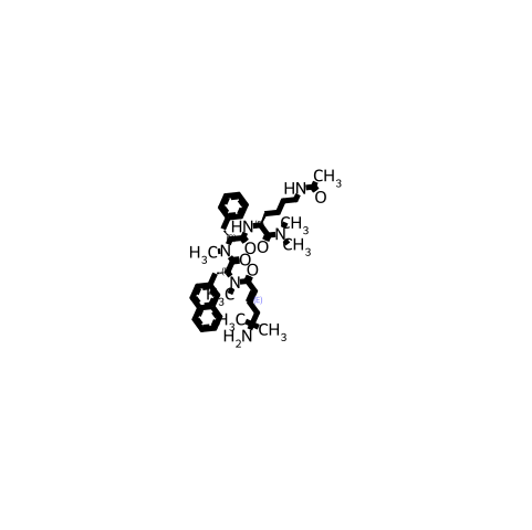 CC(=O)NCCCC[C@H](NC(=O)[C@@H](Cc1ccccc1)N(C)C(=O)[C@@H](Cc1ccc2ccccc2c1)N(C)C(=O)/C=C/CC(C)(C)N)C(=O)N(C)C